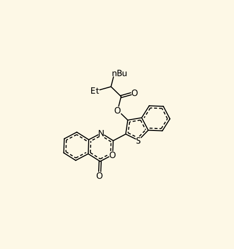 CCCCC(CC)C(=O)Oc1c(-c2nc3ccccc3c(=O)o2)sc2ccccc12